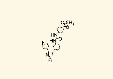 CCn1cc(-c2cccc(NC(=O)Nc3ccc(S(C)(=O)=O)cc3)c2)c(-c2ccncc2)n1